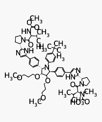 COCCCO[C@H]1[C@H](OCCCOC)[C@H](c2ccc(-c3cnc([C@@H]4CCCN4C(=O)[C@H](C(C)C)N(C)C(=O)O)[nH]3)cc2)N(c2ccc(C(C)(C)C)cc2)[C@H]1c1ccc(-c2cnc([C@@H]3CCCN3C(=O)[C@@H](NC(=O)OC)C(C)C)[nH]2)cc1